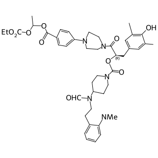 CCOC(=O)OC(C)OC(=O)c1ccc(N2CCN(C(=O)[C@@H](Cc3cc(C)c(O)c(C)c3)OC(=O)N3CCC(N(C=O)CCc4ccccc4NC)CC3)CC2)cc1